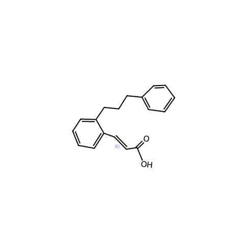 O=C(O)/C=C/c1ccccc1CCCc1ccccc1